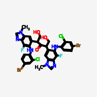 Cn1cnc2c(F)c(Nc3ccc(Br)cc3Cl)c(C(CO)C(=O)C(CO)c3cc4c(ncn4C)c(F)c3Nc3ccc(Br)cc3Cl)cc21